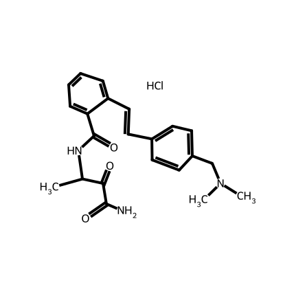 CC(NC(=O)c1ccccc1/C=C/c1ccc(CN(C)C)cc1)C(=O)C(N)=O.Cl